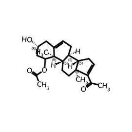 CC(=O)OC1C[C@H](O)CC2=CC[C@H]3[C@@H]4CC=C(C(C)=O)[C@@]4(C)CC[C@@H]3[C@]21C